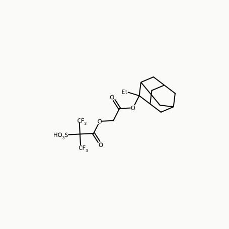 CCC1(OC(=O)COC(=O)C(C(F)(F)F)(C(F)(F)F)S(=O)(=O)O)C2CC3CC(C2)CC1C3